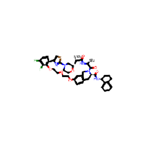 CN[C@@H](C)C(=O)NC(C(=O)N1Cc2cc(OCCOCCOc3c(-c4csc(N5CCOCC5)n4)ccc(F)c3F)ccc2C[C@H]1C(=O)N[C@@H]1CCCc2ccccc21)C(C)(C)C